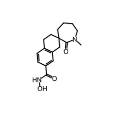 CN1CCCCC2(CCc3ccc(C(=O)NO)cc3C2)C1=O